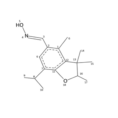 Cc1c(C=NO)cc(C(C)C)c2c1C(C)(C)C(C)O2